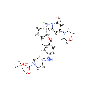 CC(C)(C)OC(=O)N1CCC(Nc2ccc3c(c2)Cc2ccc(F)c(-c4cc(N5CCOCC5)cc(=O)[nH]4)c2O3)CC1